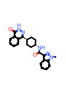 Cn1nc(C(=O)N[C@H]2CC[C@H](c3n[nH]c(=O)c4ccccc43)CC2)c2ccccc21